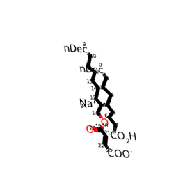 CCCCCCCCCCCCCCCCCC(=O)O.CCCCCCCCCCCCCCCCCCOC(=O)C=CC(=O)[O-].[Na+]